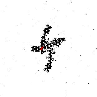 CN(C(=O)OC(C)(C)C)[C@@H]1[C@@H](O)[C@@H](O[C@@H]2[C@@H](O)[C@H](O[C@H]3OC(CNCC4CC4)=CC[C@H]3NC(=O)OCc3ccc([N+](=O)[O-])cc3)[C@@H](NC(=O)OCc3ccc([N+](=O)[O-])cc3)C[C@H]2NC(=O)[C@H](O)CCNC(=O)OCc2ccc([N+](=O)[O-])cc2)OC[C@]1(C)O